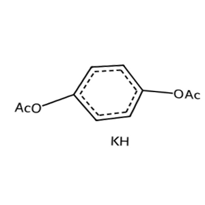 CC(=O)Oc1ccc(OC(C)=O)cc1.[KH]